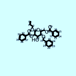 C=CCO[C@@H]1OC(COC(=O)c2ccccc2)[C@H](OCc2ccccc2)C(O)C1OC(=O)c1ccccc1